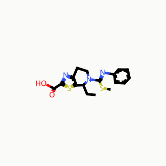 CCC1c2sc(C(=O)O)nc2CCN1C(=Nc1ccccc1)SC